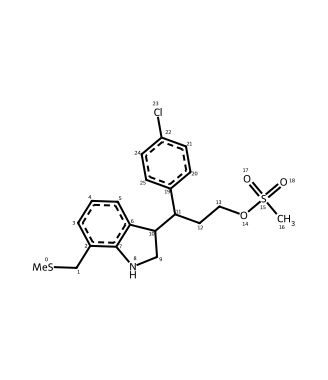 CSCc1cccc2c1NCC2C(CCOS(C)(=O)=O)c1ccc(Cl)cc1